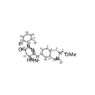 COC[C@@H]1Cc2ccc(-c3n[nH]c4cc(=O)n(-c5c(C)cccc5F)nc34)cc2CN1C